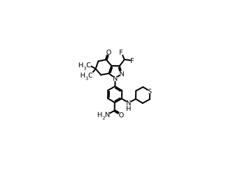 CC1(C)CC(=O)c2c(C(F)F)nn(-c3ccc(C(N)=O)c(NC4CCSCC4)c3)c2C1